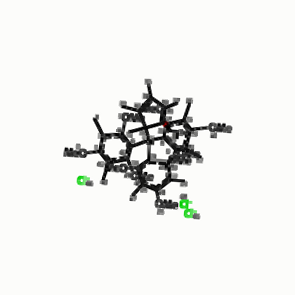 COc1c(C)c(OC)c([Si](c2c(OC)c(C)c(OC)c(C)c2OC)(c2c(OC)c(C)c(OC)c(C)c2OC)C2(C)C(C)=C(C)C(C)=[C]2[Ti+3])c(OC)c1C.[Cl-].[Cl-].[Cl-]